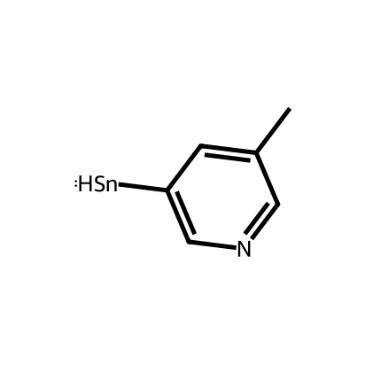 Cc1cnc[c]([SnH])c1